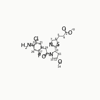 COC(=O)CCC1CN=C([C@@H]2C[C@H](OC)CN2C(=O)Cc2cc(Cl)c(N)cc2F)S1